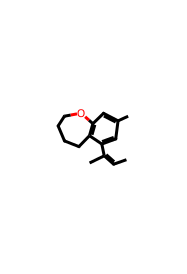 C/C=C(/C)c1cc(C)cc2c1CCCCO2